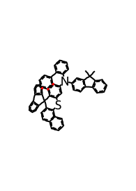 CC1(C)c2ccccc2-c2ccc(N(c3ccc4c(c3)Sc3c(ccc5ccccc35)C43c4ccccc4-c4ccccc43)c3ccccc3-c3ccccc3)cc21